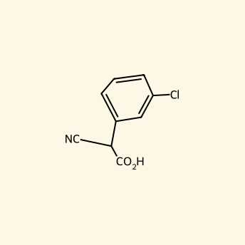 N#CC(C(=O)O)c1cccc(Cl)c1